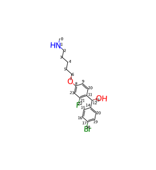 CNCCCCCOc1ccc(C(O)c2ccc(Br)cc2)c(F)c1